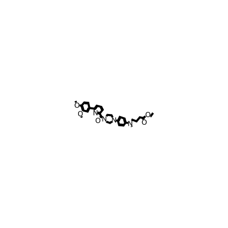 CCOC(=O)CCCN(C)c1ccc(N2CCN(C(=O)c3cccc(-c4ccc(OC)c(OC)c4)n3)CC2)cc1